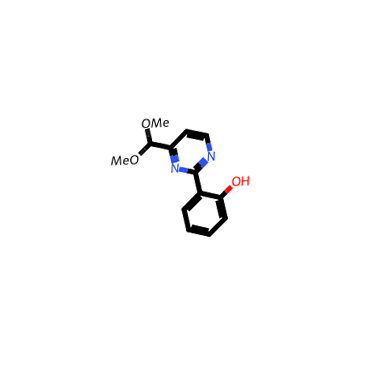 COC(OC)c1ccnc(-c2ccccc2O)n1